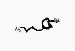 Bc1ccc(CCCCC)cc1